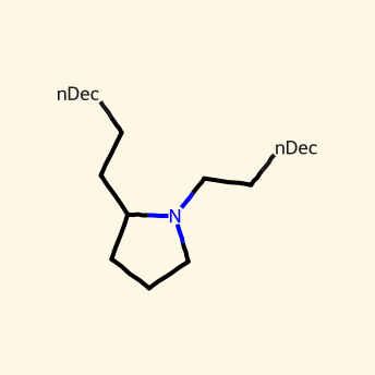 CCCCCCCCCCCCC1CCCN1CCCCCCCCCCCC